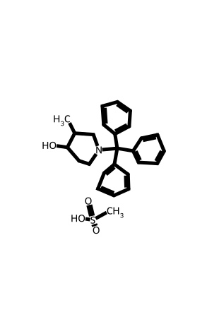 CC1CN(C(c2ccccc2)(c2ccccc2)c2ccccc2)CCC1O.CS(=O)(=O)O